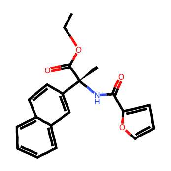 CCOC(=O)[C@](C)(NC(=O)c1ccco1)c1ccc2ccccc2c1